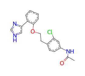 CC(=O)Nc1ccc(CCOc2ccccc2-c2c[nH]cn2)c(Cl)c1